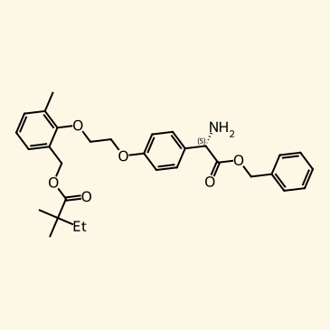 CCC(C)(C)C(=O)OCc1cccc(C)c1OCCOc1ccc([C@H](N)C(=O)OCc2ccccc2)cc1